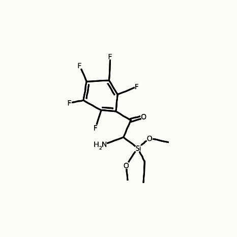 CC[Si](OC)(OC)C(N)C(=O)c1c(F)c(F)c(F)c(F)c1F